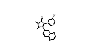 Cn1c(-c2ccc3nccnc3c2)c(-c2cccc(Br)c2)c(=O)n1C